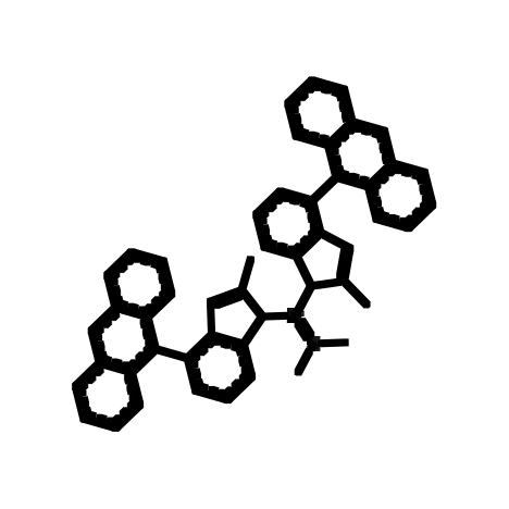 CC1=Cc2c(-c3c4ccccc4cc4ccccc34)cccc2[CH]1[Zr]([CH]1C(C)=Cc2c(-c3c4ccccc4cc4ccccc34)cccc21)=[Si](C)C